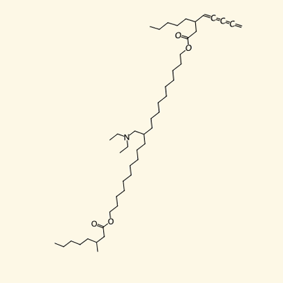 C=C=C=C=CC(CCCCC)CC(=O)OCCCCCCCCCCC(CCCCCCCCCCOC(=O)CC(C)CCCCC)CN(CC)CC